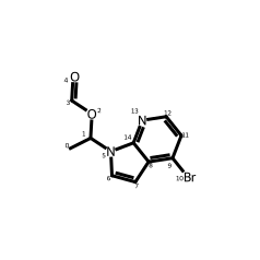 CC(OC=O)n1ccc2c(Br)ccnc21